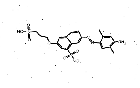 Cc1cc(N=Nc2ccc3cc(OCCCS(=O)(=O)O)cc(S(=O)(=O)O)c3c2)c(C)cc1N